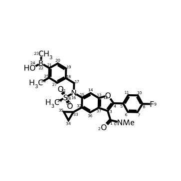 CNC(=O)c1c(-c2ccc(F)cc2)oc2cc(N(Cc3ccc(B(C)O)c(C)c3)S(C)(=O)=O)c(C3CC3)cc12